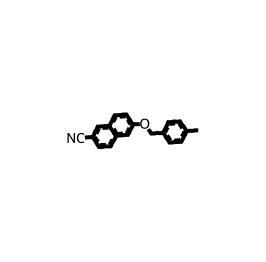 Cc1ccc(COc2ccc3cc(C#N)ccc3c2)cc1